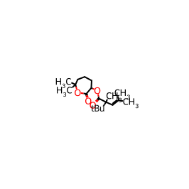 CC(C)=CC(C)(C(=O)OC1CCCC(C)(C)OC1=O)C(C)(C)C